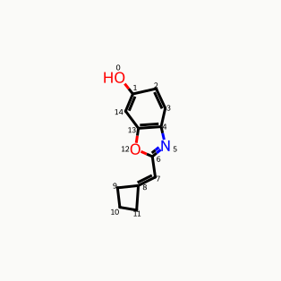 Oc1ccc2nc(C=C3CCC3)oc2c1